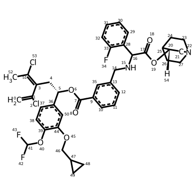 C=C(Cl)/C(C[C@H](OC(=O)c1cccc(CNC(C(=O)O[C@H]2CN3CCC2CC3)c2ccccc2F)c1)c1ccc(OC(F)F)c(OCC2CC2)c1)=C(\C)Cl